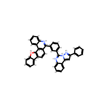 c1ccc(-c2cc3c4ccccc4nc(-c4cccc(-c5nc6ccccc6c6c5ccc5c7ccccc7oc56)c4)n3n2)cc1